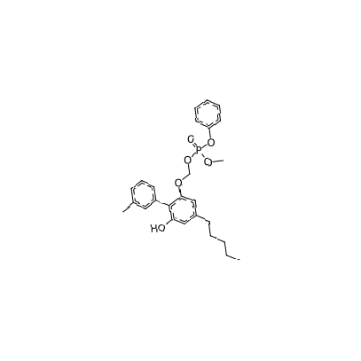 CCCCCc1cc(O)c(-c2cccc(C)c2)c(OCOP(=O)(OC)Oc2ccccc2)c1